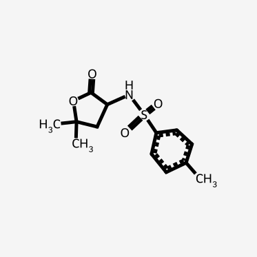 Cc1ccc(S(=O)(=O)NC2CC(C)(C)OC2=O)cc1